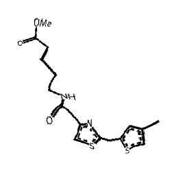 COC(=O)CCCCNC(=O)c1csc(-c2cc(C)cs2)n1